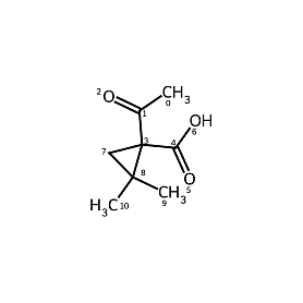 CC(=O)C1(C(=O)O)CC1(C)C